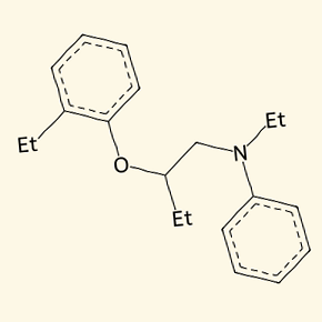 CCc1ccccc1OC(CC)CN(CC)c1ccccc1